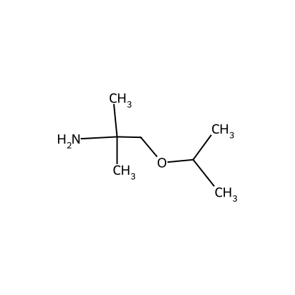 CC(C)OCC(C)(C)N